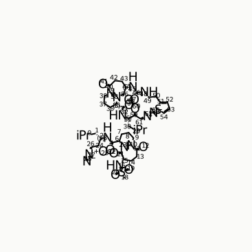 CC(C)C[C@H](NC(=O)C1CCCN2C(=O)CCC(NS(C)(=O)=O)C(=O)N12)C(=O)C=[N+]=[N-].CC(C)C[C@H](NC(=O)[C@@H]1CCCN2C(=O)CC[C@H](NC(=O)NCCc3cccs3)C(=O)N12)C(=O)C=[N+]=[N-]